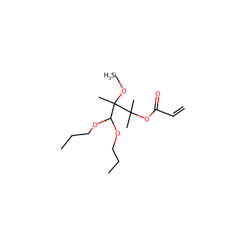 C=CC(=O)OC(C)(C)C(C)(O[SiH3])C(OCCC)OCCC